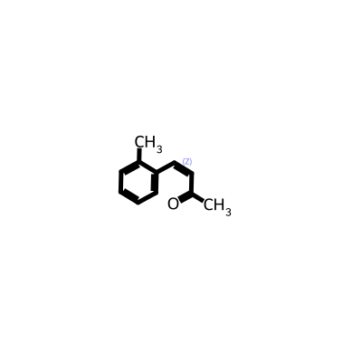 CC(=O)/C=C\c1ccccc1C